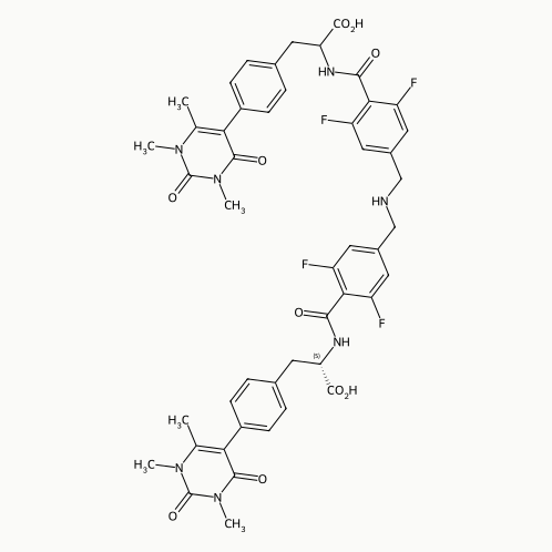 Cc1c(-c2ccc(CC(NC(=O)c3c(F)cc(CNCc4cc(F)c(C(=O)N[C@@H](Cc5ccc(-c6c(C)n(C)c(=O)n(C)c6=O)cc5)C(=O)O)c(F)c4)cc3F)C(=O)O)cc2)c(=O)n(C)c(=O)n1C